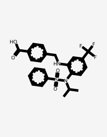 CC(C)N(c1ccc(C(F)(F)F)cc1NCc1ccc(C(=O)O)cc1)S(=O)(=O)c1ccccc1